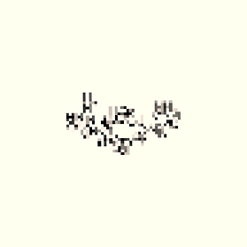 Nc1nc2c(ncn2[C@@H]2O[C@@H]3COP(=O)(O)O[C@@H]4C[C@H](n5cnc6c(=O)[nH]c(N)nc65)O[C@@H]4COP(=O)(O)O[C@@H]3C2O)c(=O)[nH]1